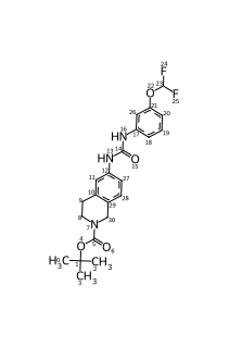 CC(C)(C)OC(=O)N1CCc2cc(NC(=O)Nc3cccc(OC(F)F)c3)ccc2C1